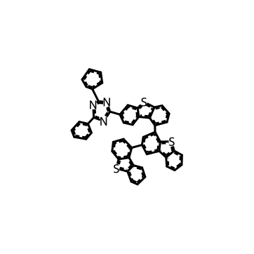 c1ccc(-c2nc(-c3ccccc3)nc(-c3ccc4c(c3)sc3cccc(-c5cc(-c6cccc7sc8ccccc8c67)cc6c5sc5ccccc56)c34)n2)cc1